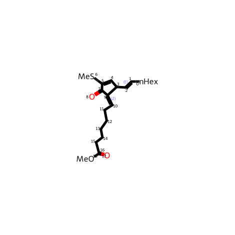 CCCCCC/C=C/C1C=C(SC)C(=O)/C1=C\CCCCCC(=O)OC